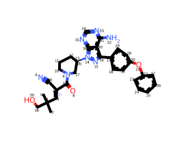 CC(C)(/C=C(\C#N)C(=O)N1CCC[C@@H](n2nc(-c3ccc(Oc4ccccc4)cc3)c3c(N)ncnc32)C1)CO